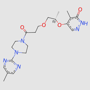 Cc1cnc(N2CCN(C(=O)CCOC[C@H](C)Oc3cn[nH]c(=O)c3C)CC2)nc1